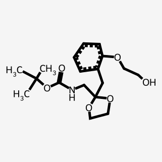 CC(C)(C)OC(=O)NCC1(Cc2ccccc2OCCO)OCCO1